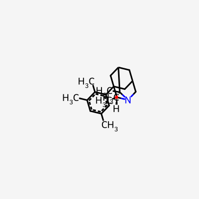 Cc1cc(C)c(C)c(C23CC4CC(C2)C(C)(C)N(C4)[C@@H]3C)c1